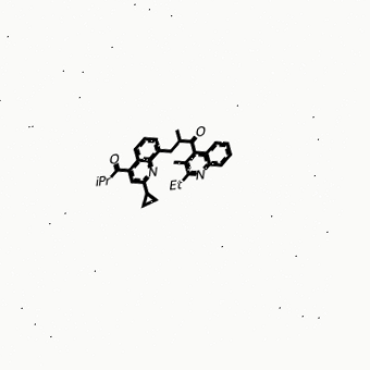 CCc1nc2ccccc2c(C(=O)C(C)Cc2cccc3c(C(=O)C(C)C)cc(C4CC4)nc23)c1C